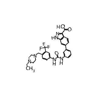 CCN1CCN(Cc2ccc(NC(=O)Nc3cccc(-c4ccc5c(C(=O)O)n[nH]c5c4)c3)cc2C(F)(F)F)CC1